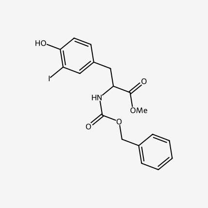 COC(=O)C(Cc1ccc(O)c(I)c1)NC(=O)OCc1ccccc1